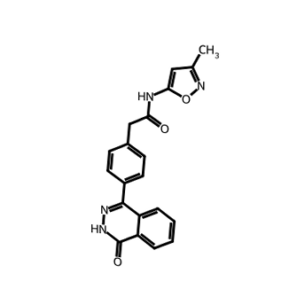 Cc1cc(NC(=O)Cc2ccc(-c3n[nH]c(=O)c4ccccc34)cc2)on1